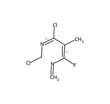 C=N/C(F)=C(C)\C(Cl)=N/CCl